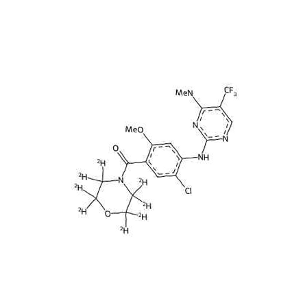 [2H]C1([2H])OC([2H])([2H])C([2H])([2H])N(C(=O)c2cc(Cl)c(Nc3ncc(C(F)(F)F)c(NC)n3)cc2OC)C1([2H])[2H]